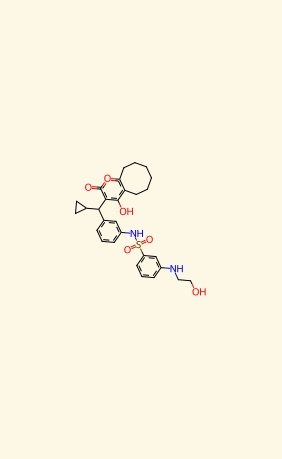 O=c1oc2c(c(O)c1C(c1cccc(NS(=O)(=O)c3cccc(NCCO)c3)c1)C1CC1)CCCCCC2